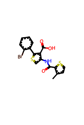 Cc1ccsc1C(=O)Nc1csc(-c2ccccc2Br)c1C(=O)O